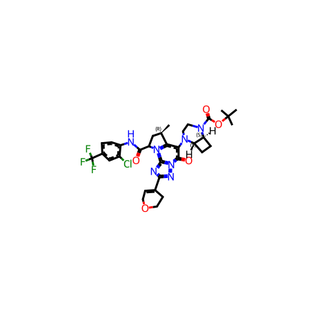 C[C@@H]1CC(C(=O)Nc2ccc(C(F)(F)F)cc2Cl)n2c1c(N1CCN(C(=O)OC(C)(C)C)[C@H]3CC[C@@H]31)c(=O)n1nc(C3=CCOCC3)nc21